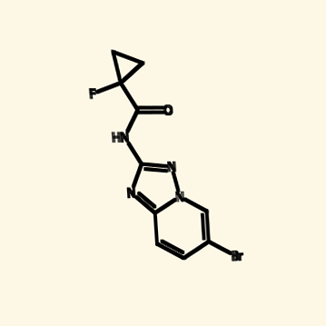 O=C(Nc1nc2ccc(Br)cn2n1)C1(F)CC1